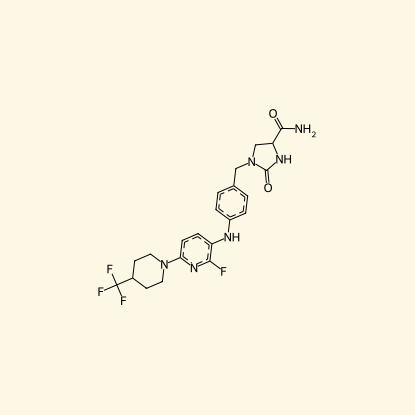 NC(=O)C1CN(Cc2ccc(Nc3ccc(N4CCC(C(F)(F)F)CC4)nc3F)cc2)C(=O)N1